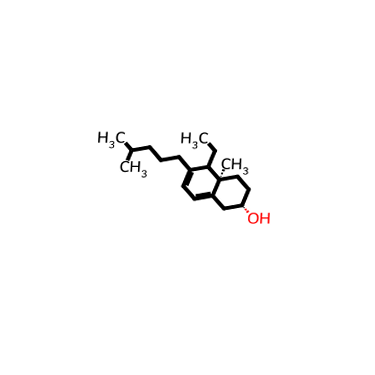 CCC1C(CCCC(C)C)=CC=C2C[C@@H](O)CC[C@@]21C